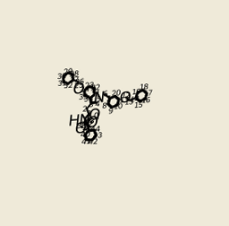 O=C(Cc1cn(Cc2cccc(OCc3ccccc3)c2)c2ccc(OCc3ccccc3)cc12)NS(=O)(=O)c1ccccc1